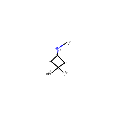 CCCC1(CCC)CC(NC(C)C)C1